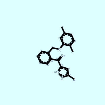 Cc1ccc(C)c(OCc2ccccc2C(=O)c2cc(C)no2)c1